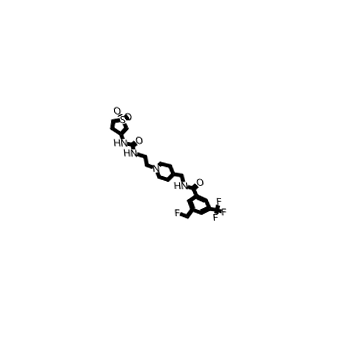 O=C(NCCN1CCC(CNC(=O)c2cc(CF)cc(C(F)(F)F)c2)CC1)NC1CCS(=O)(=O)C1